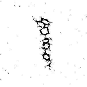 O=C1O[C@]2(CC[C@H](c3nc4nc(-c5cccc(OC(F)F)c5)ncc4[nH]3)CC2)c2cnccc21